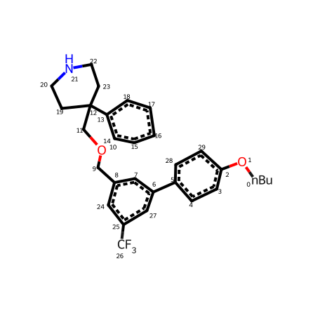 CCCCOc1ccc(-c2cc(COCC3(c4ccccc4)CCNCC3)cc(C(F)(F)F)c2)cc1